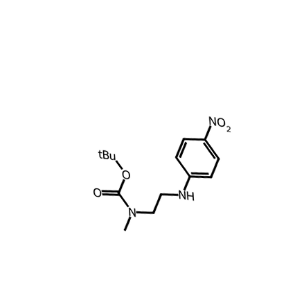 CN(CCNc1ccc([N+](=O)[O-])cc1)C(=O)OC(C)(C)C